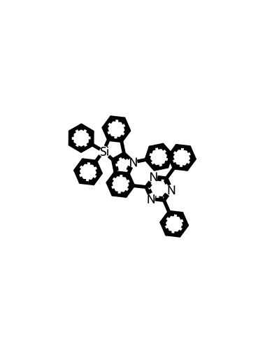 c1ccc(-c2nc(-c3ccccc3)nc(-c3cccc4c5c(n(-c6ccccc6)c34)-c3ccccc3[Si]5(c3ccccc3)c3ccccc3)n2)cc1